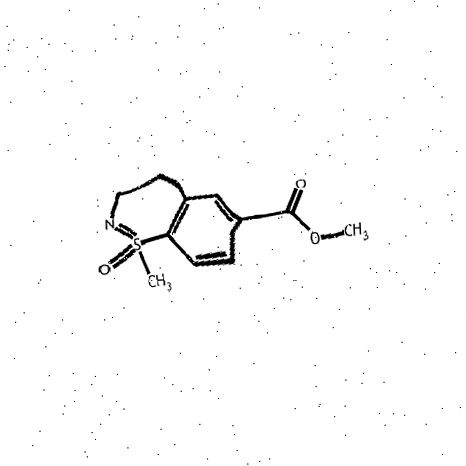 COC(=O)c1ccc2c(c1)CCN=S2(C)=O